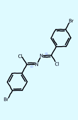 Cl/C(=N\N=C(/Cl)c1ccc(Br)cc1)c1ccc(Br)cc1